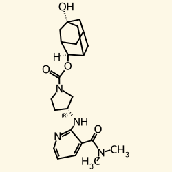 CN(C)C(=O)c1cccnc1N[C@@H]1CCN(C(=O)O[C@H]2C3CC4CC2C[C@](O)(C4)C3)C1